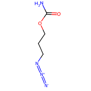 [N-]=[N+]=NCCCOC(N)=O